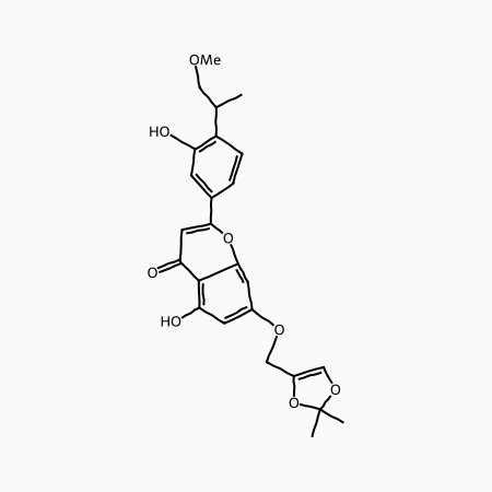 COCC(C)c1ccc(-c2cc(=O)c3c(O)cc(OCC4=COC(C)(C)O4)cc3o2)cc1O